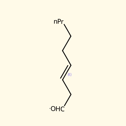 CCCCC/C=C/C[C]=O